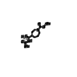 C[C@H](N[S+]([O-])C(C)(C)C)C1CCCN(C(=O)OC(C)(C)C)CC1